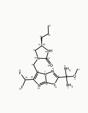 BC(B)(OC)c1nn2c(CN3C[C@@H](CCC)NC3=O)c(C(F)F)nc2s1